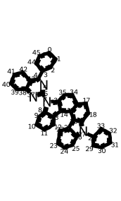 c1ccc(-c2nc(-n3c4ccccc4c4c5c(ccc6c5c5ccccc5n6-c5ccccc5)ccc43)nc3ccccc23)cc1